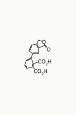 O=C1OCc2ccc(-c3cccc(C(=O)O)c3C(=O)O)cc21